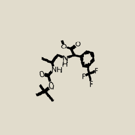 COC(=O)C(NCC(C)NC(=O)OC(C)(C)C)c1cccc(C(F)(F)F)c1